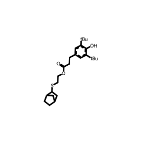 CC(C)(C)c1cc(CCC(=O)OCCSC2CC3CCC2C3)cc(C(C)(C)C)c1O